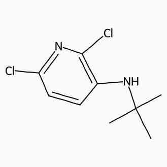 CC(C)(C)Nc1ccc(Cl)nc1Cl